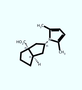 Cc1ccc(C)n1[C@@H]1C[C@H]2CCC[C@@]2(C(=O)O)C1